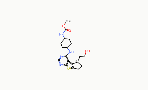 CC(C)(C)OC(=O)NC1CCC(Nc2ncnc3sc4c(c23)[C@@H](CCO)CC4)CC1